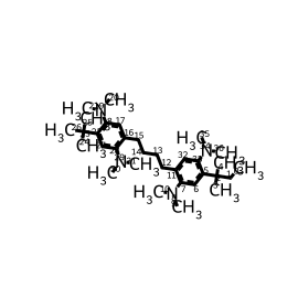 CCC(C)(C)c1cc(N(C)C)c(CCCCc2cc(N(C)C)c(C(C)(C)C)cc2N(C)C)cc1N(C)C